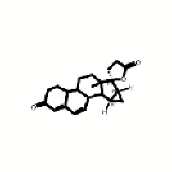 CC12CCC3C4CCC(=O)C=C4C=CC3C1[C@H]1C[C@H]1[C@@]21CCC(=O)O1